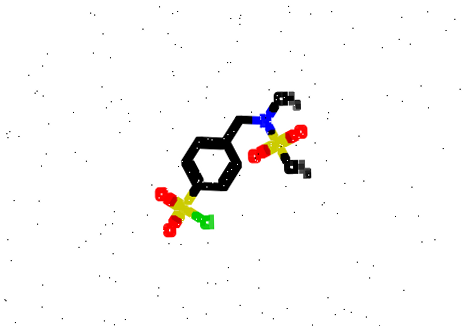 CN(Cc1ccc(S(=O)(=O)Cl)cc1)S(C)(=O)=O